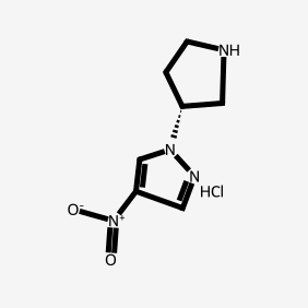 Cl.O=[N+]([O-])c1cnn([C@@H]2CCNC2)c1